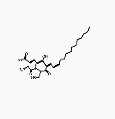 CCCCCCCCCCC/C=C\C=C(C(=O)C(CS)NC(=O)CN)C(O)=CC=CC(=O)O